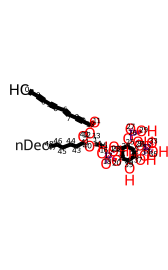 C#CC#CC#CC#CC#CC(=O)OC[C@H](COP(=O)(O)OC1C(O)[C@@H](OP(=O)(O)O)C(OP(=O)(O)O)[C@@H](O)[C@H]1O)OC(=O)CCCCCCCCCCCCCCC